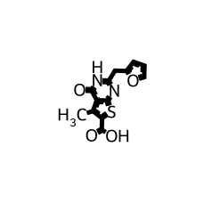 Cc1c(C(=O)O)sc2nc(Cc3ccco3)[nH]c(=O)c12